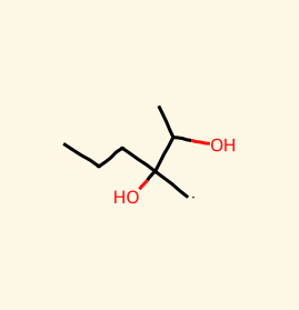 [CH2]C(O)(CCC)C(C)O